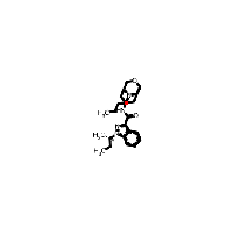 CCCCN1C2COCC1CC(NC(=O)c1nn([C@@H](C)CC)c3ccccc13)C2